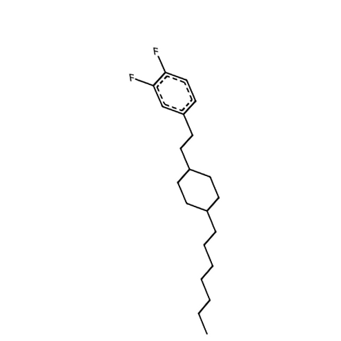 CCCCCCCC1CCC(CCc2ccc(F)c(F)c2)CC1